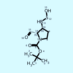 CC(C)(C)OC(=O)N1CC[C@H](BSO)[C@H]1C=O